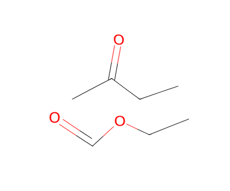 CCC(C)=O.CCOC=O